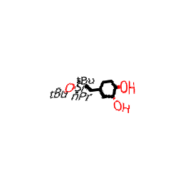 CCC[Si](CCC1CCC(O)C(O)C1)(OC(C)(C)C)C(C)(C)C